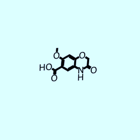 COc1cc2c(cc1C(=O)O)NC(=O)CO2